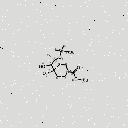 C[C@H](O[Si](C)(C)C(C)(C)C)C(O)C1(C(=O)O)CCN(C(=O)OC(C)(C)C)CC1